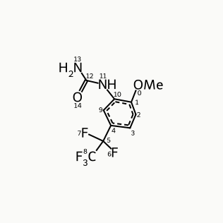 COc1ccc(C(F)(F)C(F)(F)F)cc1NC(N)=O